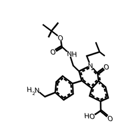 CC(C)Cn1c(CNC(=O)OC(C)(C)C)c(-c2ccc(CN)cc2)c2cc(C(=O)O)ccc2c1=O